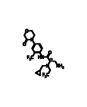 NC[C@@H](C(=O)Nc1ccc(N2CCOCC2=O)cc1C(F)(F)F)N(CC1CC1)CC(F)(F)F